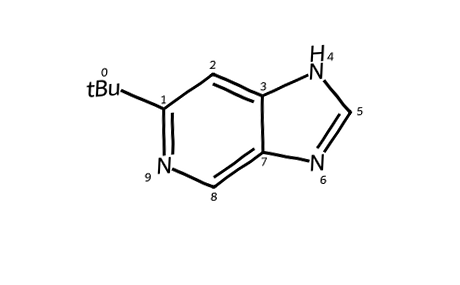 CC(C)(C)c1cc2[nH]cnc2cn1